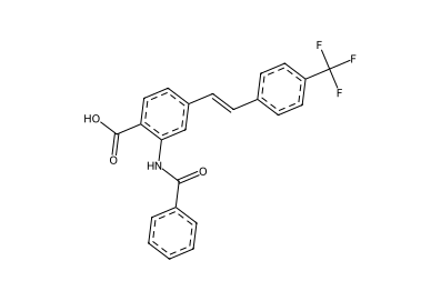 O=C(Nc1cc(C=Cc2ccc(C(F)(F)F)cc2)ccc1C(=O)O)c1ccccc1